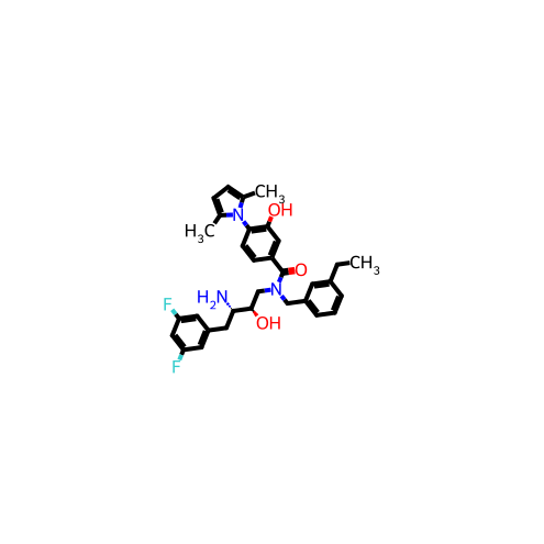 CCc1cccc(CN(C[C@@H](O)[C@@H](N)Cc2cc(F)cc(F)c2)C(=O)c2ccc(-n3c(C)ccc3C)c(O)c2)c1